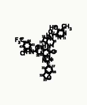 CCc1c(N2CCN(C(=O)c3ncnc(C)c3O)[C@H]3CC[C@@H]32)c(=O)n2nc(-c3ccc4c(c3)CCO4)nc2n1CC(=O)Nc1ccc(C(F)(F)F)cc1Cl